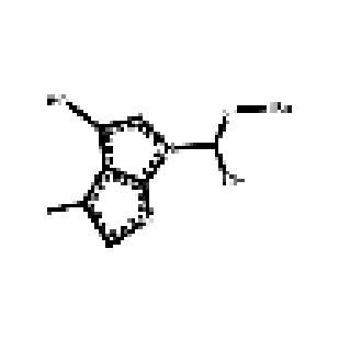 Cc1csc2c1c(C(C)C)cn2C(O)OC(C)(C)C